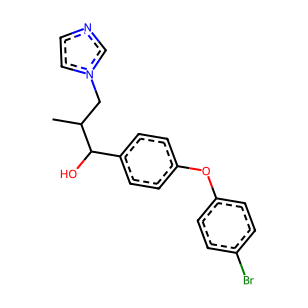 CC(Cn1ccnc1)C(O)c1ccc(Oc2ccc(Br)cc2)cc1